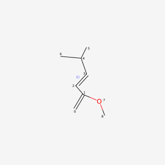 C=C(/C=C/C(C)C)OC